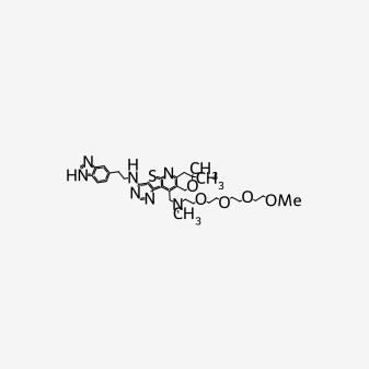 COCCOCCOCCOCCN(C)Cc1c2c(nc3sc4c(NCCc5ccc6[nH]cnc6c5)ncnc4c13)CC(C)(C)OC2